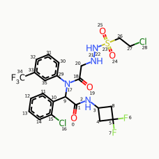 O=C(NC1CC(F)(F)C1)C(c1ccccc1Cl)N(C(=O)CNNS(=O)(=O)CCCl)c1cccc(C(F)(F)F)c1